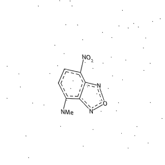 [CH2]Nc1ccc([N+](=O)[O-])c2nonc12